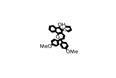 COc1ccc(C2(c3ccc(OC)cc3)C=Cc3c([SH]4C=CC=C4)c(O)c4ccccc4c3O2)cc1